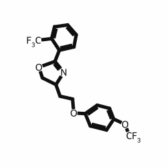 FC(F)(F)Oc1ccc(OCCC2COC(c3ccccc3C(F)(F)F)=N2)cc1